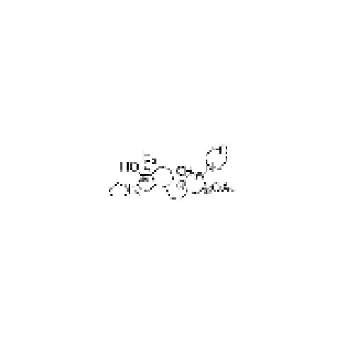 CC(=O)O[C@H]1CC2CCC3C(CC[C@@]4(C)C3C[C@H](N3CCCC3)[C@@H]4O)[C@@]2(C)C[C@@H]1N1CCOCC1